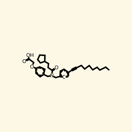 CCCCCCCCC#Cc1ccc(CN(Cc2ccc(OCC(=O)O)cc2)C(=O)CCC2CCCC2)cc1